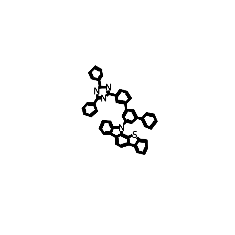 c1ccc(-c2cc(-c3cccc(-c4nc(-c5ccccc5)nc(-c5ccccc5)n4)c3)cc(-n3c4ccccc4c4ccc5c6ccccc6sc5c43)c2)cc1